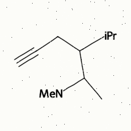 C#CCC(C(C)C)C(C)NC